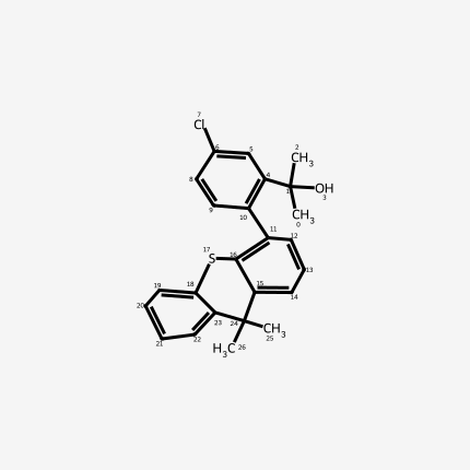 CC(C)(O)c1cc(Cl)ccc1-c1cccc2c1Sc1ccccc1C2(C)C